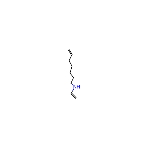 C=CCCCCCNC=C